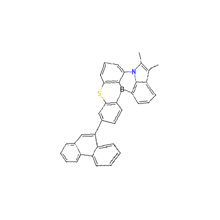 Cc1c(C)n2c3c(cccc13)B1c3ccc(-c4cc5ccccc5c5ccccc45)cc3Sc3cccc-2c31